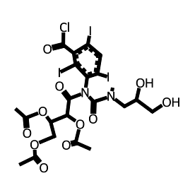 CC(=O)OCC(OC(C)=O)C(OC(C)=O)C(=O)N(C(=O)N(C)CC(O)CO)c1c(I)cc(I)c(C(=O)Cl)c1I